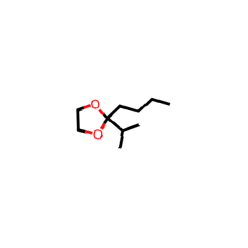 CCCCC1(C(C)C)OCCO1